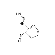 N=NNc1ccccc1N=O